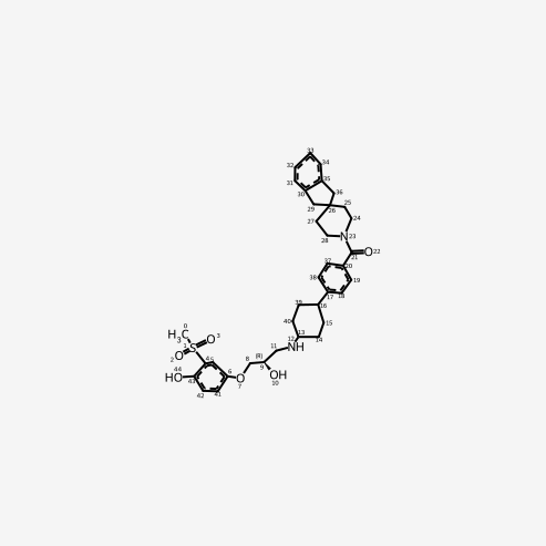 CS(=O)(=O)c1cc(OC[C@H](O)CNC2CCC(c3ccc(C(=O)N4CCC5(CC4)Cc4ccccc4C5)cc3)CC2)ccc1O